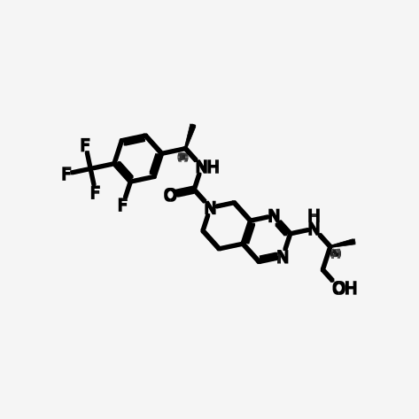 C[C@@H](CO)Nc1ncc2c(n1)CN(C(=O)N[C@H](C)c1ccc(C(F)(F)F)c(F)c1)CC2